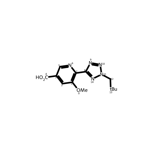 COc1cc(C(=O)O)cnc1-c1nnn(CC(C)(C)C)n1